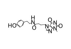 Cn1c(=O)c2c(ncn2CCCC(=O)NCCc2ccc(O)cc2)n(C)c1=O